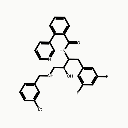 CCc1cccc(CNC[C@H](O)C(Cc2cc(F)cc(F)c2)NC(=O)c2ccccc2-c2cccnc2)c1